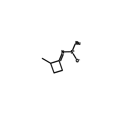 CCC(C)[S+]([O-])N=C1CCC1C